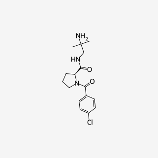 CC(C)(N)CNC(=O)[C@@H]1CCCN1C(=O)c1ccc(Cl)cc1